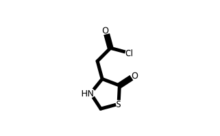 O=C(Cl)CC1NCSC1=O